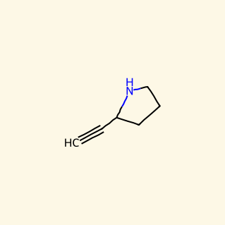 C#CC1CCCN1